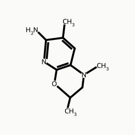 Cc1cc2c(nc1N)OC(C)CN2C